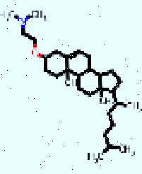 CC(C)CCCC(C)C1CCC2C3CC=C4CC(OCCN(C)C)CCC4(C)C3CCC12C